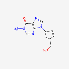 Nn1cnc2c(ncn2C2C=CC(CO)C2)c1=O